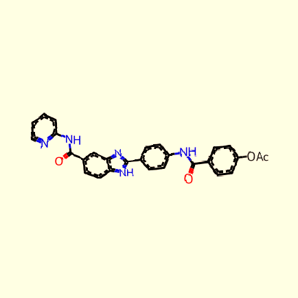 CC(=O)Oc1ccc(C(=O)Nc2ccc(-c3nc4cc(C(=O)Nc5ccccn5)ccc4[nH]3)cc2)cc1